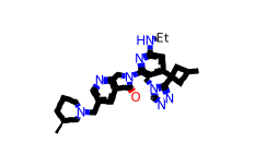 CCNc1cc(C2(c3nncn3C)CC(C)C2)cc(N2Cc3ncc(CN4CCC[C@H](C)C4)cc3C2=O)n1